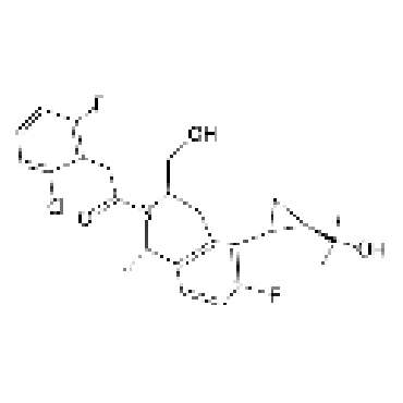 C[C@H]1c2ccc(F)c(C3C[C@H]3C(C)(C)O)c2C[C@H](CO)N1C(=O)Cc1c(F)cccc1Cl